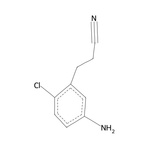 N#CCCc1cc(N)ccc1Cl